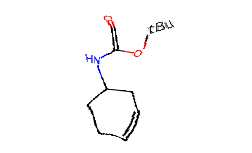 CC(C)(C)OC(=O)NC1CC=CCC1